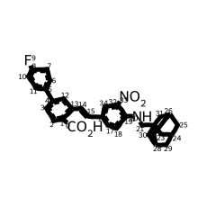 O=C(O)c1ccc(-c2ccc(F)cc2)cc1C=Cc1ccc(NCC23CC4CC(CC(C4)C2)C3)c([N+](=O)[O-])c1